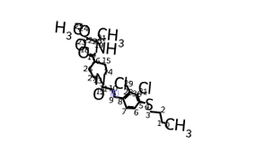 CCCCSc1ccc(/C=C/C(=O)N2CCC(C(=O)NC(C)C(=O)OC)CC2)c(Cl)c1Cl